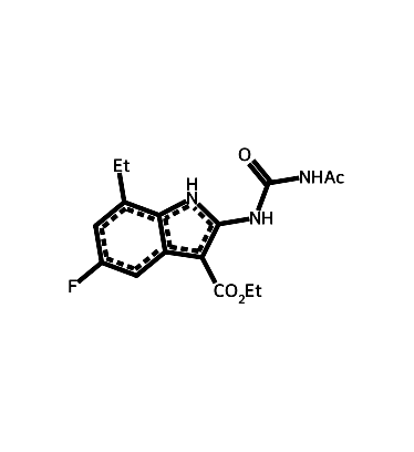 CCOC(=O)c1c(NC(=O)NC(C)=O)[nH]c2c(CC)cc(F)cc12